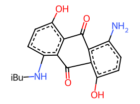 CCC(C)Nc1ccc(O)c2c1C(=O)c1c(O)ccc(N)c1C2=O